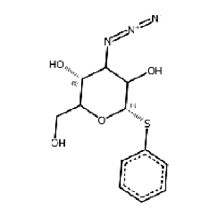 [N-]=[N+]=NC1C(O)[C@H](Sc2ccccc2)OC(CO)[C@@H]1O